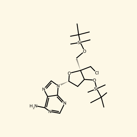 CC(C)(C)[Si](C)(C)OC[C@@]1(CCl)O[C@@H](n2cnc3c(N)ncnc32)CC1O[Si](C)(C)C(C)(C)C